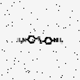 NC1=CCC(SSc2ccc(N)cc2)C#C1